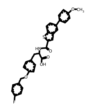 COc1ccc(-c2ccc3sc(C(=O)NC(Cc4ccc(OCc5ccc(F)cc5)cc4)C(=O)O)cc3c2)cc1